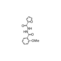 COc1ccccc1C(=O)NNC(=O)c1ccco1